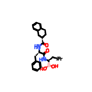 CC(C)C[C@H](NC(=O)[C@H](Cc1ccccc1)NC(=O)[C@H]1CCc2ccccc2C1)B(O)O